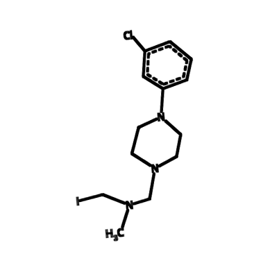 CN(CI)CN1CCN(c2cccc(Cl)c2)CC1